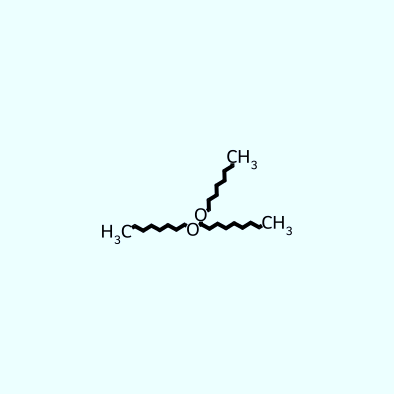 CCCCCCCCOC(CCCCCCCC)OCCCCCCCC